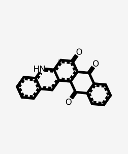 O=C1c2ccccc2C(=O)c2c1c1cc3ccccc3[nH]c-1[c]c2=O